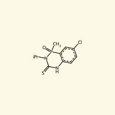 CC(C)N1C(=S)Nc2ccc(Cl)cc2P1(C)=O